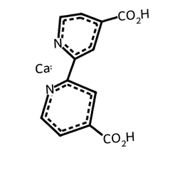 O=C(O)c1ccnc(-c2cc(C(=O)O)ccn2)c1.[Ca]